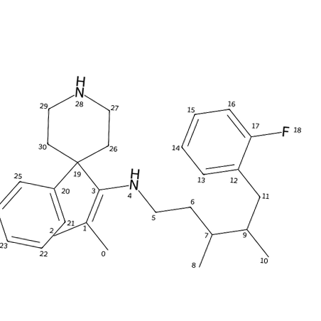 CC(C)=C(NCCC(C)C(C)Cc1ccccc1F)C1(c2ccccc2)CCNCC1